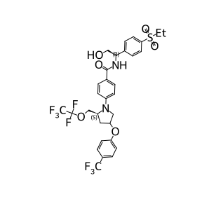 CCS(=O)(=O)c1ccc([C@H](CO)NC(=O)c2ccc(N3CC(Oc4ccc(C(F)(F)F)cc4)C[C@H]3COC(F)(F)C(F)(F)F)cc2)cc1